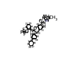 CN/N=C(\N=N)NC(=O)c1ccc(CN(C(=O)Nc2ccccc2OC(F)(F)F)c2ccc(C3CCCCC3)cc2)cc1